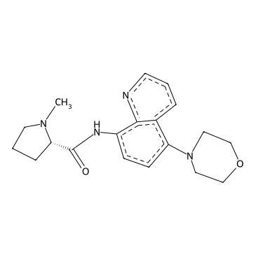 CN1CCC[C@H]1C(=O)Nc1ccc(N2CCOCC2)c2cccnc12